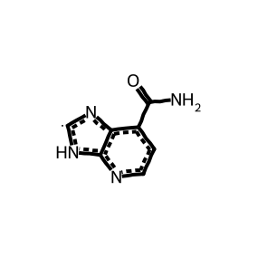 NC(=O)c1ccnc2[nH][c]nc12